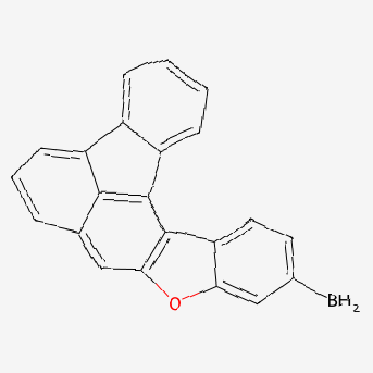 Bc1ccc2c(c1)oc1cc3cccc4c3c(c12)-c1ccccc1-4